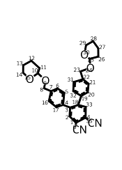 N#Cc1cc(-c2ccc(COC3CCCCO3)cc2)c(-c2ccc(COC3CCCCO3)cc2)cc1C#N